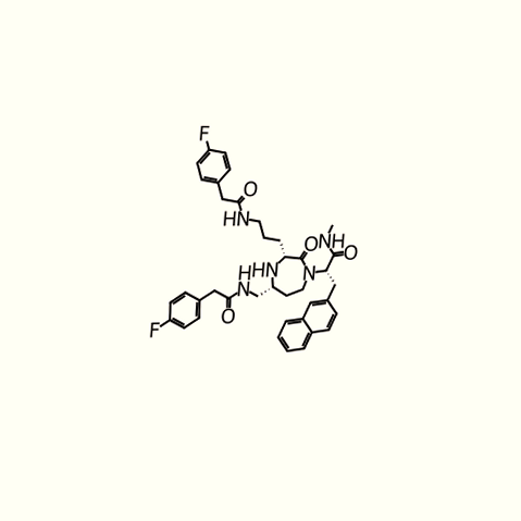 CNC(=O)[C@H](Cc1ccc2ccccc2c1)N1CC[C@H](CNC(=O)Cc2ccc(F)cc2)N[C@H](CCCNC(=O)Cc2ccc(F)cc2)C1=O